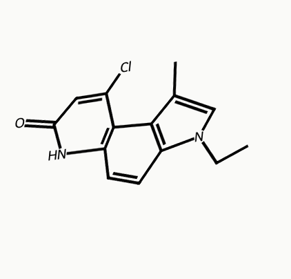 CCn1cc(C)c2c3c(Cl)cc(=O)[nH]c3ccc21